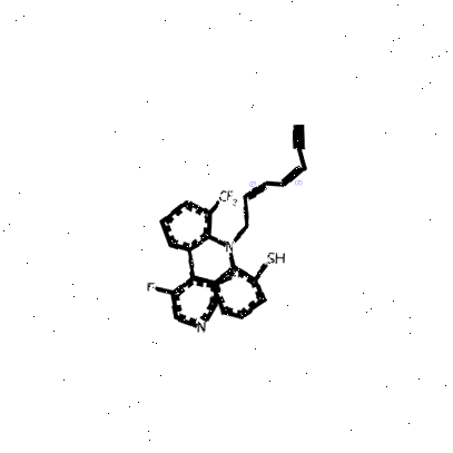 C#C/C=C\C=C/CN(c1ccccc1S)c1c(-c2c(F)cncc2F)cccc1C(F)(F)F